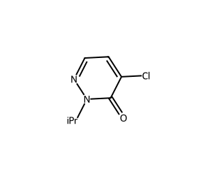 CC(C)n1nccc(Cl)c1=O